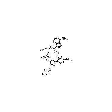 C[C@@H](O[C@@H](CN=O)COP(=O)(O)O[C@H]1CC(n2ccc(N)nc2=O)O[C@@H]1COP(=O)(O)O)n1cnc2c(N)ncnc21